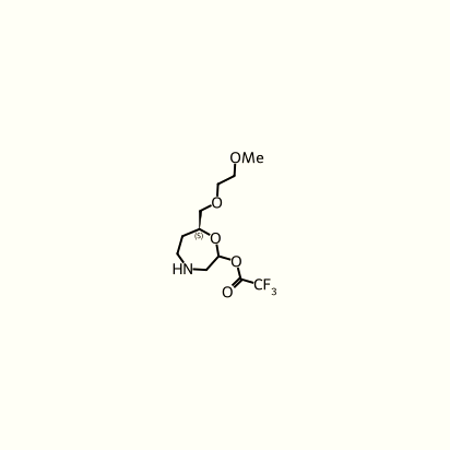 COCCOC[C@@H]1CCNCC(OC(=O)C(F)(F)F)O1